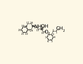 C=CCc1ccccc1OC[C@H](O)CN[C@@H]1CCc2ccccc2C1